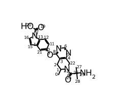 CC1Cc2c(ncnc2Oc2ccc3c(ccn3C(=O)O)c2)CN1C(=O)C(C)(C)N